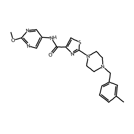 COc1ncc(NC(=O)c2csc(N3CCN(Cc4cccc(C)c4)CC3)n2)cn1